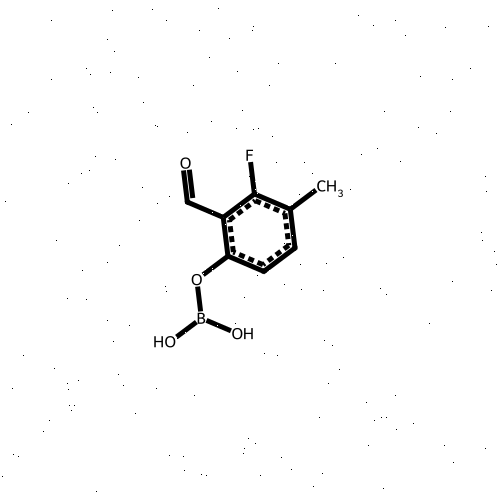 Cc1ccc(OB(O)O)c(C=O)c1F